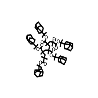 CCC(C)(CC(C)(CC(C)(CC(C)(CC(C)(C)C(=O)OC(C)(C)C12CC3CC(CC(C3)C1)C2)C(=O)OC(C)(C)C12CC3CC(CC(C3)C1)C2)C(=O)OC(C)(C)C12CC3CC(CC(C3)C1)C2)C(=O)OC(C)(C)C12CC3CC(CC(C3)C1)C2)C(=O)OC(C)(C)C12CC3CC(CC(C3)C1)C2